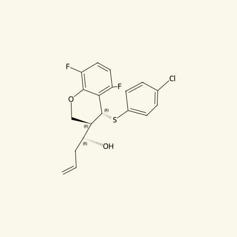 C=CC[C@@H](O)[C@H]1COc2c(F)ccc(F)c2[C@@H]1Sc1ccc(Cl)cc1